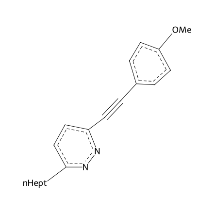 CCCCCCCc1ccc(C#Cc2ccc(OC)cc2)nn1